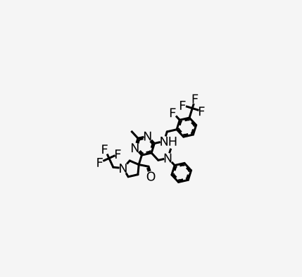 Cc1nc(NCc2cccc(C(F)(F)F)c2F)c(CN(C)c2ccccc2)c(C2(C=O)CCN(CC(F)(F)F)C2)n1